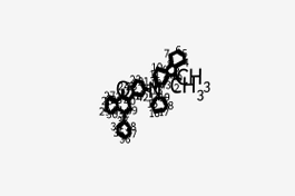 CC1(C)c2ccccc2-c2ccc(N(c3ccccc3)c3ccc4oc5c6ccccc6c(-c6ccccc6)cc5c4c3)cc21